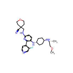 COC[C@@H](C)N[C@H]1CC[C@H](Nc2ccc(NCC3(C#N)CCOCC3)nc2-c2ccncc2F)CC1